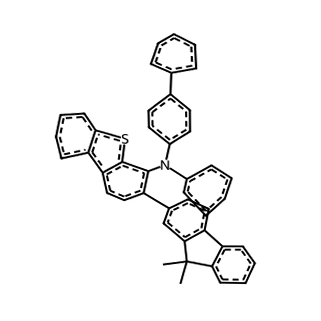 CC1(C)c2ccccc2-c2ccc(-c3ccc4c(sc5ccccc54)c3N(c3ccccc3)c3ccc(-c4ccccc4)cc3)cc21